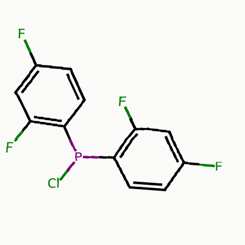 Fc1ccc(P(Cl)c2ccc(F)cc2F)c(F)c1